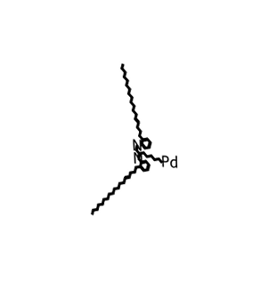 CCCCCCCCCCCCC/C=C/CCCc1ccccc1/N=C\C(CCCCCC)=N\c1ccccc1CCC/C=C/CCCCCCCCCCCCC.[Pd]